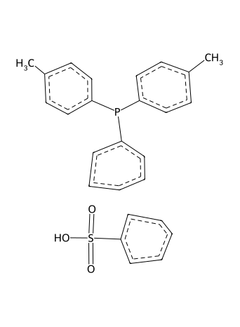 Cc1ccc(P(c2ccccc2)c2ccc(C)cc2)cc1.O=S(=O)(O)c1ccccc1